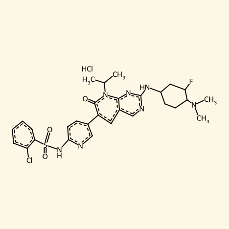 CC(C)n1c(=O)c(-c2ccc(NS(=O)(=O)c3ccccc3Cl)nc2)cc2cnc(NC3CCC(N(C)C)C(F)C3)nc21.Cl